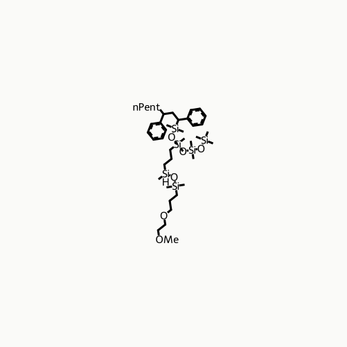 CCCCCC(CC(c1ccccc1)[Si](C)(C)O[Si](C)(CCC[SiH](C)O[Si](C)(C)CCCOCCOC)O[Si](C)(C)O[Si](C)(C)C)c1ccccc1